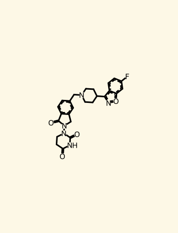 O=C1CCN(N2Cc3cc(CN4CCC(c5noc6cc(F)ccc56)CC4)ccc3C2=O)C(=O)N1